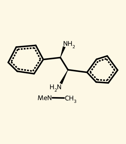 CNC.N[C@H](c1ccccc1)[C@H](N)c1ccccc1